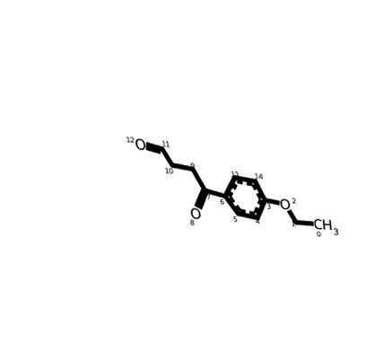 CCOc1ccc(C(=O)CCC=O)cc1